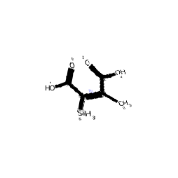 C/C(C(=O)O)=C(\[SiH3])C(=O)O